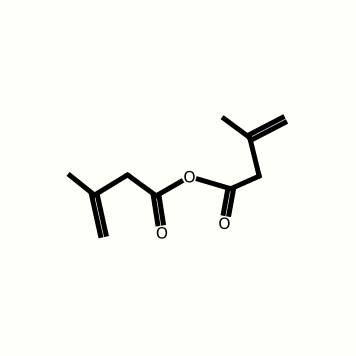 C=C(C)CC(=O)OC(=O)CC(=C)C